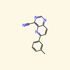 Cc1cccc(-c2ccc3ncnc(C#N)c3n2)c1